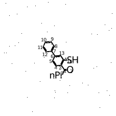 CCCC(=O)c1ccc(-c2ccccc2)cc1S